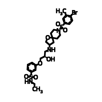 CCNS(=O)(=O)c1cccc(OC[C@@H](O)CNC2COC3(CCN(S(=O)(=O)c4ccc(Br)c(C)c4)CC3)C2)c1